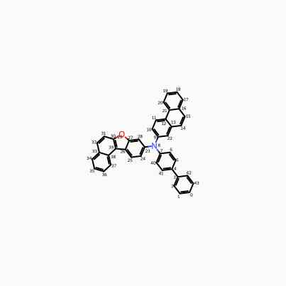 c1ccc(-c2ccc(N(c3ccc4c(ccc5ccccc54)c3)c3ccc4c(c3)oc3ccc5ccccc5c34)cc2)cc1